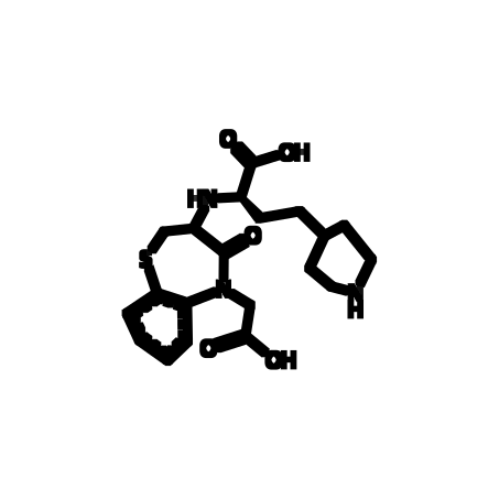 O=C(O)CN1C(=O)C(N[C@H](CCC2CCNCC2)C(=O)O)CSc2ccccc21